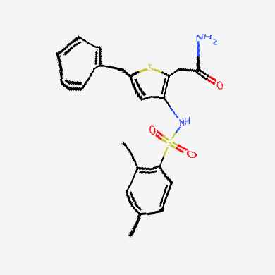 Cc1ccc(S(=O)(=O)Nc2cc(-c3ccccc3)sc2C(N)=O)c(C)c1